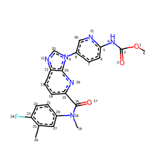 COC(=O)Nc1ccc(-n2cnc3ccc(C(=O)N(C)c4ccc(F)c(C)c4)nc32)cn1